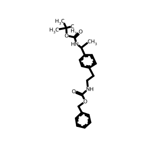 CC(NC(=O)OC(C)(C)C)c1ccc(CCNC(=O)OCc2ccccc2)cc1